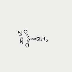 N#N.O=S(=O)=[SiH2]